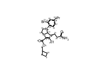 CCC1=C(C(=O)OCC2CCC2)N2CCN(c3ccc(C(C)C)cc3Br)C2N1CCC(N)=O